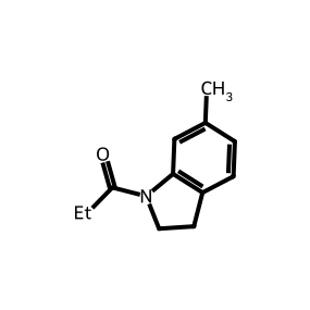 CCC(=O)N1CCc2ccc(C)cc21